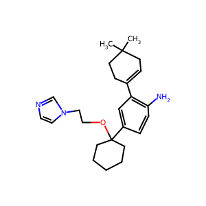 CC1(C)CC=C(c2cc(C3(OCCn4ccnc4)CCCCC3)ccc2N)CC1